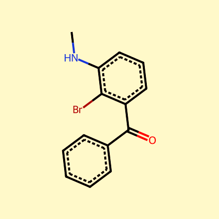 CNc1cccc(C(=O)c2ccccc2)c1Br